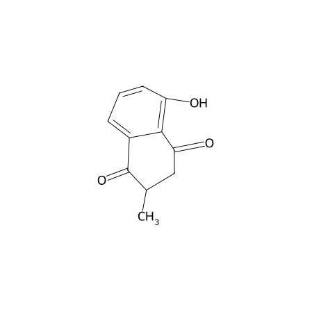 CC1CC(=O)c2c(O)cccc2C1=O